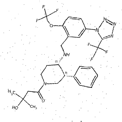 CC(C)(O)CC(=O)N1CC[C@H](NCc2cc(-n3nnnc3C(F)(F)F)ccc2OC(F)(F)F)[C@H](c2ccccc2)C1